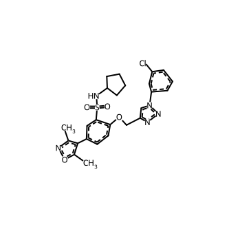 Cc1noc(C)c1-c1ccc(OCc2cn(-c3cccc(Cl)c3)nn2)c(S(=O)(=O)NC2CCCC2)c1